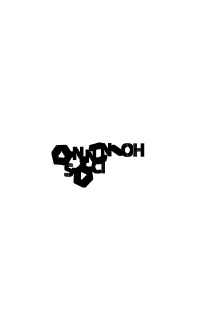 OCCN1CCN(C2=Nc3ccccc3Sc3cccc(Cl)c32)CC1